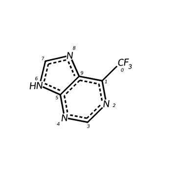 FC(F)(F)c1ncnc2[nH]cnc12